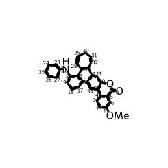 COc1ccc2c(c1)c(=O)oc1cc(C3=C(c4ccccc4Nc4ccccc4)C#CCC=C3)ccc12